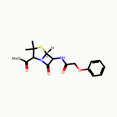 COC(=O)C1N2C(=O)C(NC(=O)COc3ccccc3)[C@H]2SC1(C)C